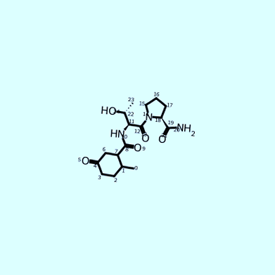 CC1CCC(=O)CC1C(=O)N[C@H](C(=O)N1CCC[C@H]1C(N)=O)[C@@H](C)O